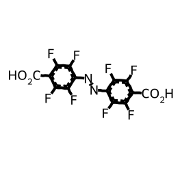 O=C(O)c1c(F)c(F)c(N=Nc2c(F)c(F)c(C(=O)O)c(F)c2F)c(F)c1F